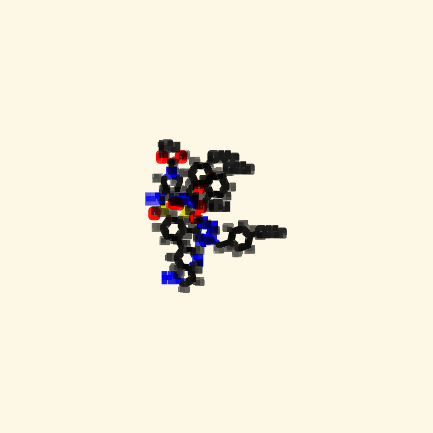 COc1ccc(CN(Cc2ccc(OC)cc2)S(=O)(=O)c2c(S(=O)(=O)N[C@H]3CN(C(=O)OC(C)(C)C)C[C@@H]3NC(=O)OC(C)(C)C)ccc(-c3cnc4cc[nH]c4c3)c2-c2nnn(Cc3ccc(OC)cc3)n2)cc1